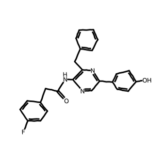 O=C(Cc1ccc(F)cc1)Nc1ncc(-c2ccc(O)cc2)nc1Cc1ccccc1